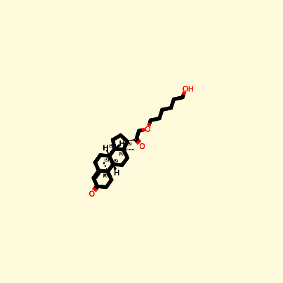 C[C@]12CC[C@H]3[C@@H](CCC4=CC(=O)CC[C@@]43C)[C@@H]1CC[C@@H]2C(=O)COCCCCCCO